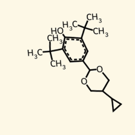 CC(C)(C)c1cc(C2OCC(C3CC3)CO2)cc(C(C)(C)C)c1O